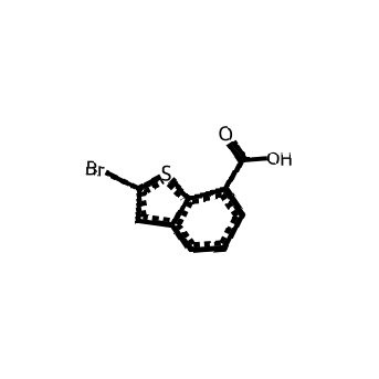 O=C(O)c1cccc2cc(Br)sc12